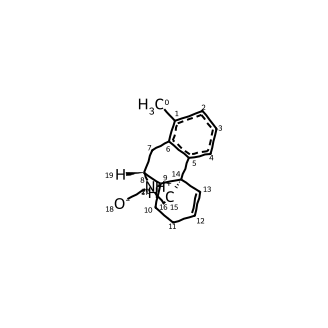 Cc1cccc2c1C[C@@H]1[C@@H]3CCC=C[C@]23CC[NH+]1[O-]